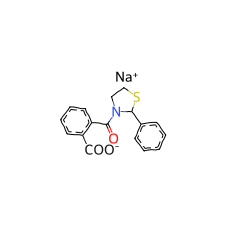 O=C([O-])c1ccccc1C(=O)N1CCSC1c1ccccc1.[Na+]